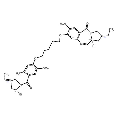 C/C=C1/C[C@@H](CC)N(C(=O)c2cc(OC)c(OCCCCCOc3cc4c(cc3OC)C(=O)N3C/C(=C\C)C[C@H]3C=N4)cc2C)C1